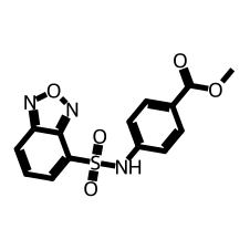 COC(=O)c1ccc(NS(=O)(=O)c2cccc3nonc23)cc1